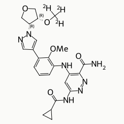 [2H]C([2H])([2H])O[C@H]1COC[C@H]1n1cc(-c2cccc(Nc3cc(NC(=O)C4CC4)nnc3C(N)=O)c2OC)cn1